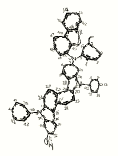 Cc1cccc(N(c2ccc3c4c5ccc6c(c5ccc4n(-c4ccccc4)c3c2)c2ccc(O)cc2n6-c2ccccc2)c2cccc3c2oc2ccccc23)c1